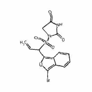 C=CC(c1oc(Br)c2ccccc12)S(=O)(=O)N1CC(=O)NC1=O